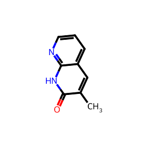 Cc1cc2cccnc2[nH]c1=O